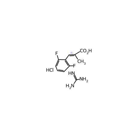 C/C(=C\c1c(F)cccc1F)C(=O)O.Cl.N=C(N)N